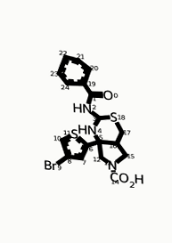 O=C(NC1NC2(c3cc(Br)cs3)CN(C(=O)O)CC2CS1)c1ccccc1